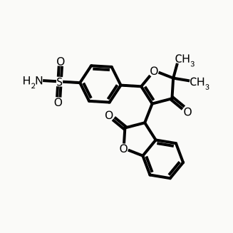 CC1(C)OC(c2ccc(S(N)(=O)=O)cc2)=C(C2C(=O)Oc3ccccc32)C1=O